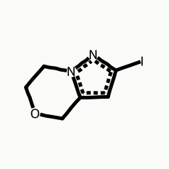 Ic1cc2n(n1)CCOC2